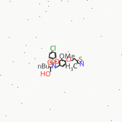 CCCCC(CO)N(Cc1ccc(OCCc2scnc2C)c(OC)c1)S(=O)(=O)c1ccc(Cl)cc1